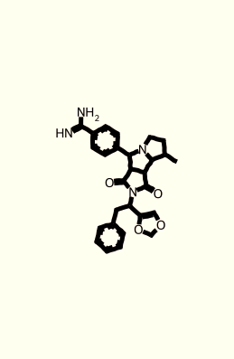 CC1CCN2C(c3ccc(C(=N)N)cc3)C3C(=O)N(C(Cc4ccccc4)C4=COCO4)C(=O)C3C12